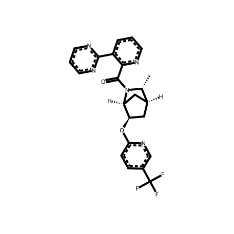 C[C@@H]1[C@H]2C[C@@H](Oc3ccc(C(F)(F)F)cn3)[C@H](C2)N1C(=O)c1ncccc1-c1ncccn1